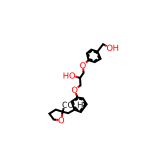 O=C(O)C1(Cc2cccc(OCC(O)COc3ccc(CO)cc3)c2)CCCO1